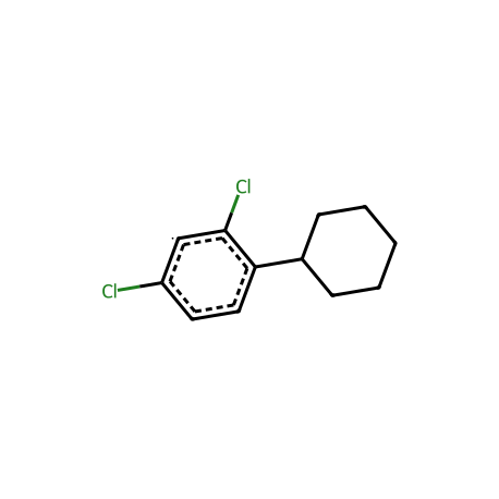 Clc1[c]c(Cl)c(C2CCCCC2)cc1